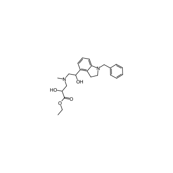 CCOC(=O)C(O)CN(C)CC(O)c1cccc2c1CCN2Cc1ccccc1